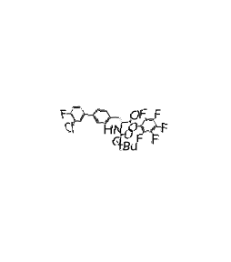 CC(C)(C)OC(=O)N[C@H](Cc1ccc(-c2ccc(F)c(Cl)c2)cc1)C(=O)Oc1c(F)c(F)c(F)c(F)c1F